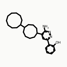 Nc1nnc(-c2ccccc2O)cc1C1CCCCC(C2CCCCCCCCC2)CCC1